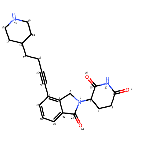 O=C1CCC(N2Cc3c(C#CCCC4CCNCC4)cccc3C2=O)C(=O)N1